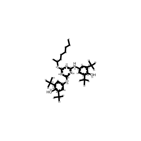 CCCCCCC(C)Sc1nc(Nc2cc(C(C)(C)C)c(O)c(C(C)(C)C)c2)nc(Oc2cc(C(C)(C)C)c(O)c(C(C)(C)C)c2)n1